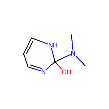 CN(C)C1(O)N=CC=CN1